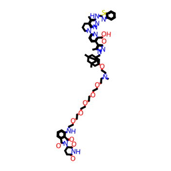 Cc1c(Nc2nc3ccccc3s2)nnc2c1CCCN2c1ccc(-c2cnn(CC34CC5(C)CC(C)(C3)CC(OCCN(C)CCOCCOCCOCCOCCOCCNc3cccc6c3C(=O)N(C3CCC(=O)NC3=O)C6=O)(C5)C4)c2C)c(C(=O)O)n1